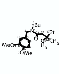 CCCCN(Cc1ccc(OC)c(OC)c1)C(=O)CC(C)(C)CC